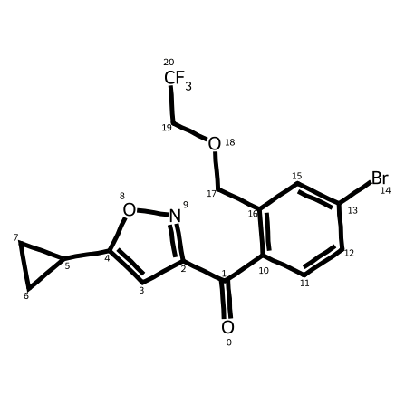 O=C(c1cc(C2CC2)on1)c1ccc(Br)cc1COCC(F)(F)F